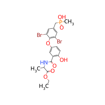 CCOC(=O)C(C)NC(=O)c1cc(Oc2c(Br)cc(CP(C)(=O)O)cc2Br)ccc1O